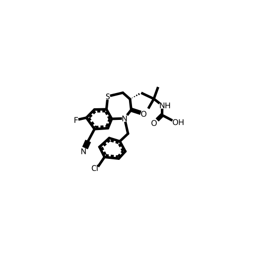 CC(C)(C[C@H]1CSc2cc(F)c(C#N)cc2N(Cc2ccc(Cl)cc2)C1=O)NC(=O)O